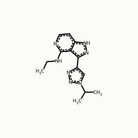 CCNc1nccc2[nH]nc(-c3cn(C(C)C)nn3)c12